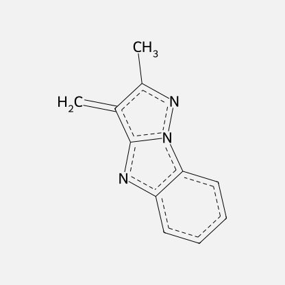 C=c1c(C)nn2c1nc1ccccc12